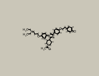 CCN(CC)CCCOc1ccc(-n2cc(-c3ccc(OCCc4ccc(Cl)cc4)cc3)nc2C2CCN(C(C)=O)CC2)cc1